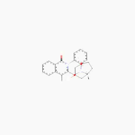 O=C(O)c1c(CN2[C@@H]3CC[C@@H]2CC(O)C3)n(-c2ccccc2)c(=O)c2ccccc12